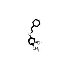 Cc1ccc(OCCC2CCCCC2)c[n+]1[O-]